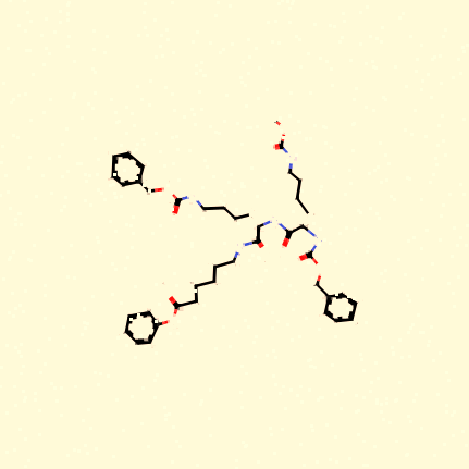 COC(=O)NCCCC[C@H](NC(=O)OCc1ccccc1)C(=O)N[C@@H](CCCCNC(=O)OCc1ccccc1)C(=O)NCCCCCC(=O)Oc1ccccc1